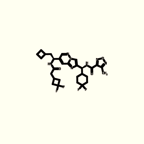 Cc1nonc1C(=O)N[C@H](c1cn2ncc([C@H](CC3CCC3)NC(=O)CC3CC(F)(F)C3)cc2n1)C1CCC(F)(F)CC1